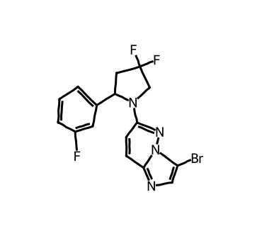 Fc1cccc(C2CC(F)(F)CN2c2ccc3ncc(Br)n3n2)c1